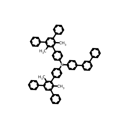 Cc1c(-c2ccccc2)cc(-c2ccccc2)c(C)c1-c1ccc(N(c2ccc(-c3cccc(-c4ccccc4)c3)cc2)c2ccc(-c3c(C)c(-c4ccccc4)cc(-c4ccccc4)c3C)cc2)cc1